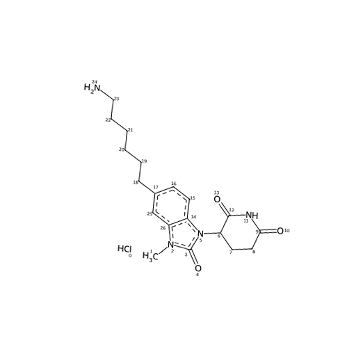 Cl.Cn1c(=O)n(C2CCC(=O)NC2=O)c2ccc(CCCCCCN)cc21